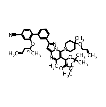 C=CCOC1(C)CCN(c2c(C(OC(C)(C)C)C(=O)OC)c(C)nc3cc(-c4cccc(-c5ccc(C#N)cc5O[C@@H](C)CC=C)c4)nn23)CC1